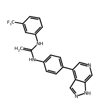 C=C(Nc1ccc(-c2cncc3[nH]ncc23)cc1)Nc1cccc(C(F)(F)F)c1